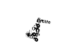 COC[C@H]1CN(c2ccc3c4c(c(=O)oc3c2C)CN(C(=O)c2ccc(C(=O)NS(=O)(=O)N(C)C)c(OC3CCCC3)c2F)CC4)CCN1C